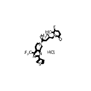 Cl.N[C@@H](CC(=O)N1CCc2c(nc(-c3ccsc3)nc2C(F)(F)F)C1)CN1C(=O)CCC(F)C1O